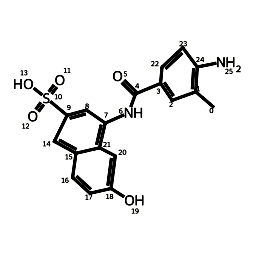 Cc1cc(C(=O)Nc2cc(S(=O)(=O)O)cc3ccc(O)cc23)ccc1N